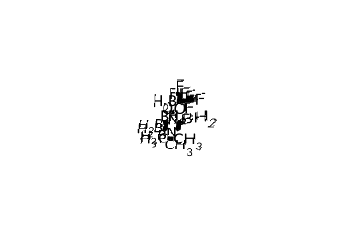 BC1CN(C(C)(C)C)C(B)(B)C(B)(B)N1C(=O)OC(B)(C(F)(F)F)C(F)(F)F